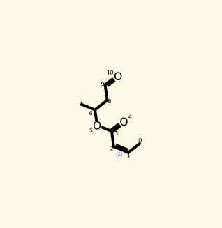 C/C=C\C(=O)OC(C)CC=O